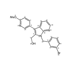 COc1ccc(-c2c(CO)n(Cc3cccc(Br)c3)c3ncccc23)cn1